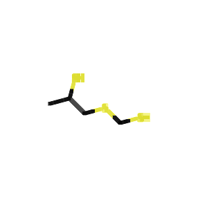 CC(S)CSCS